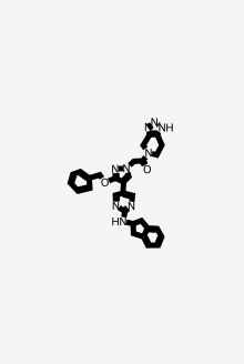 O=C(Cn1cc(-c2cnc(NC3Cc4ccccc4C3)nc2)c(OCc2ccccc2)n1)N1CCc2[nH]nnc2C1